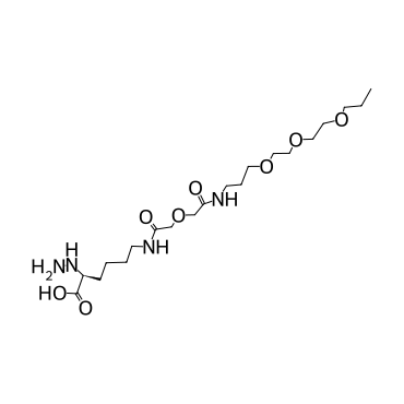 CCCOCCOCCOCCCNC(=O)COCC(=O)NCCCC[C@H](NN)C(=O)O